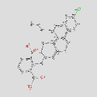 O=C(O)c1cccc(C(=O)O)c1CC1C=c2ccc3c(c2CC1)C(CCBr)C=c1cc(Cl)ccc1=3